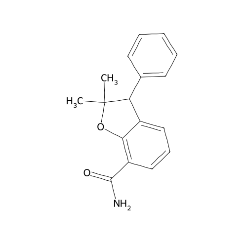 CC1(C)Oc2c(C(N)=O)cccc2C1c1ccccc1